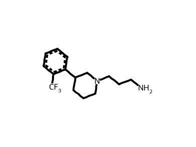 NCCCN1CCCC(c2ccccc2C(F)(F)F)C1